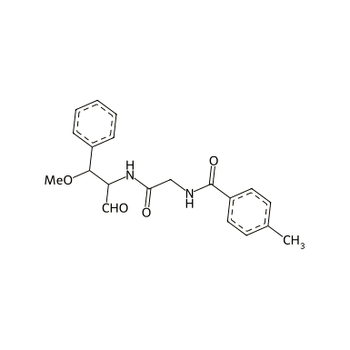 COC(c1ccccc1)C(C=O)NC(=O)CNC(=O)c1ccc(C)cc1